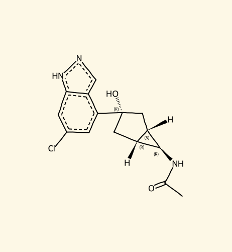 CC(=O)N[C@H]1[C@@H]2C[C@@](O)(c3cc(Cl)cc4[nH]ncc34)C[C@@H]21